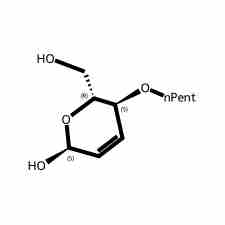 CCCCCO[C@H]1C=C[C@@H](O)O[C@@H]1CO